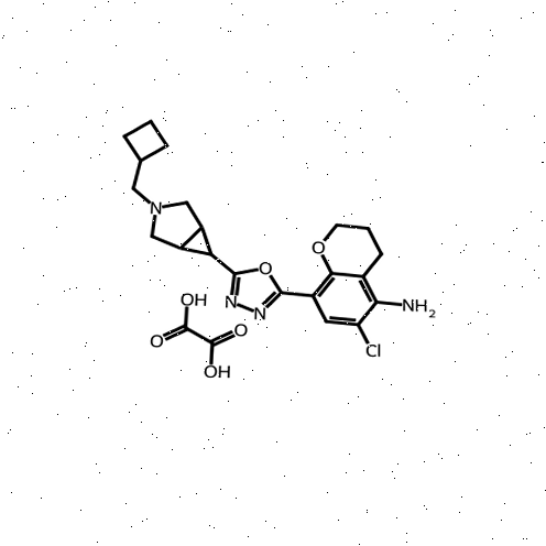 Nc1c(Cl)cc(-c2nnc(C3C4CN(CC5CCC5)CC43)o2)c2c1CCCO2.O=C(O)C(=O)O